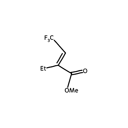 CC/C(=C\C(F)(F)F)C(=O)OC